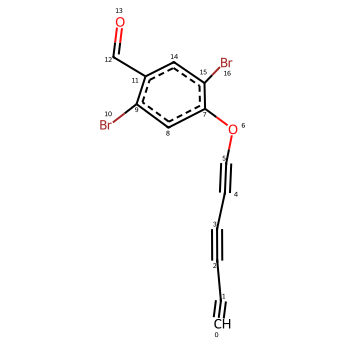 C#CC#CC#COc1cc(Br)c(C=O)cc1Br